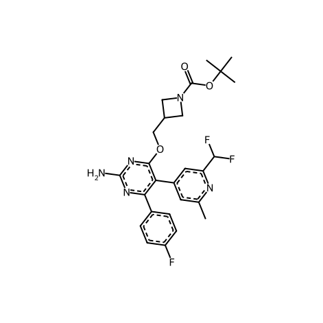 Cc1cc(-c2c(OCC3CN(C(=O)OC(C)(C)C)C3)nc(N)nc2-c2ccc(F)cc2)cc(C(F)F)n1